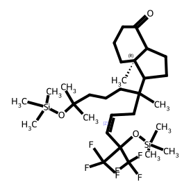 CC(C)(CCCC(C)(C/C=C\C(O[Si](C)(C)C)(C(F)(F)F)C(F)(F)F)C1CCC2C(=O)CCC[C@@]21C)O[Si](C)(C)C